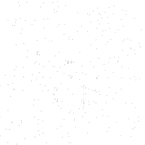 COc1ncc(F)cc1C(C)Nc1ccn2ncc(C3=NOC(C)(C)N3)c2n1